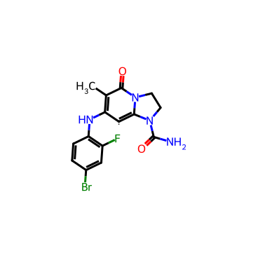 Cc1c(Nc2ccc(Br)cc2F)[c]c2n(c1=O)CCN2C(N)=O